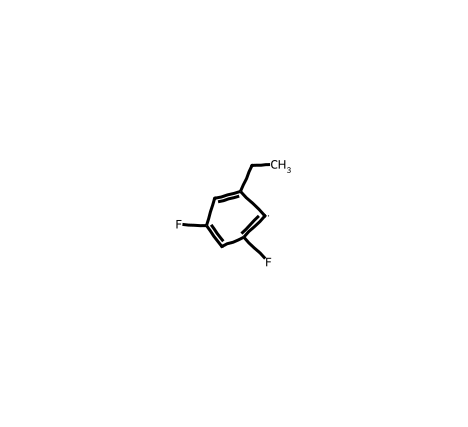 CCc1[c]c(F)cc(F)c1